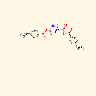 C/C(=N/C(=O)OC(=O)c1ccc([N+](=O)[O-])cc1)NC(=O)OC(=O)c1ccc([N+](=O)[O-])cc1